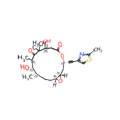 Cc1nc(C#C[C@@H]2C[C@@H]3O[C@@H]3CCC[C@H](C)[C@H](O)[C@@H](C)C(=O)C(C)(C)[C@@H](O)CC(=O)O2)cs1